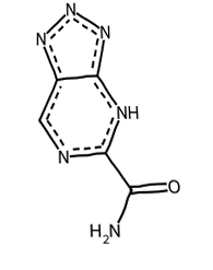 NC(=O)c1ncc2nnnc-2[nH]1